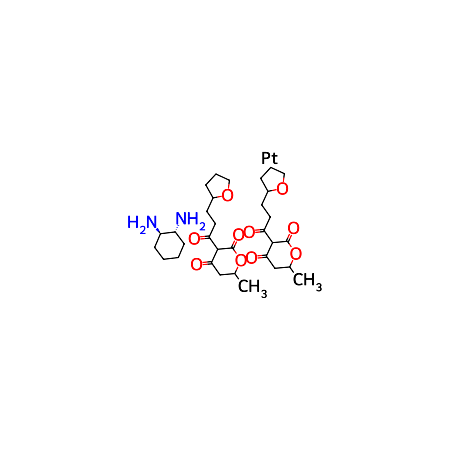 CC1CC(=O)C(C(=O)CCC2CCCO2)C(=O)O1.CC1CC(=O)C(C(=O)CCC2CCCO2)C(=O)O1.N[C@@H]1CCCC[C@H]1N.[Pt]